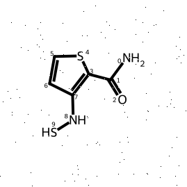 NC(=O)c1sccc1NS